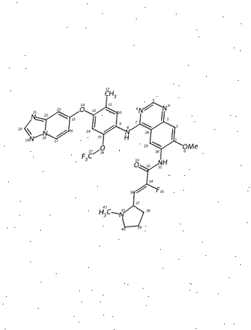 COc1cc2ncnc(Nc3cc(C)c(Oc4ccn5ncnc5c4)cc3OC(F)(F)F)c2cc1NC(=O)C(F)=CC1CCCN1C